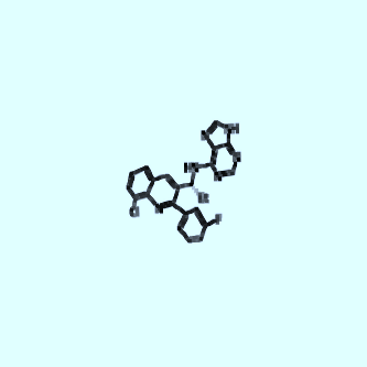 CC[C@@H](Nc1ncnc2[nH]cnc12)c1cc2cccc(Cl)c2nc1-c1cccc(F)c1